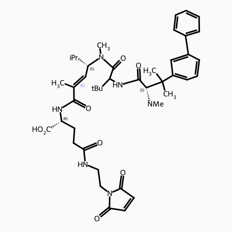 CN[C@H](C(=O)NC(C(=O)N(C)[C@H](/C=C(\C)C(=O)N[C@H](CCC(=O)NCCN1C(=O)C=CC1=O)C(=O)O)C(C)C)C(C)(C)C)C(C)(C)c1cccc(-c2ccccc2)c1